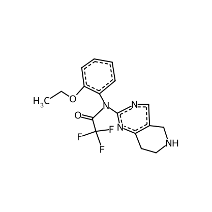 CCOc1ccccc1N(C(=O)C(F)(F)F)c1ncc2c(n1)CCNC2